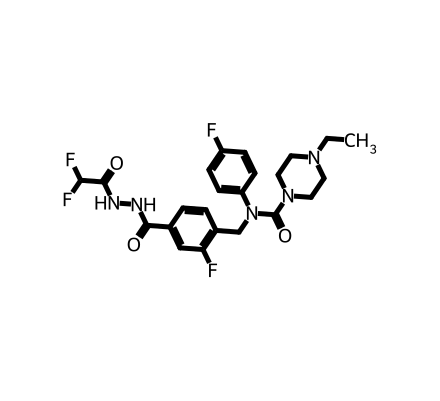 CCN1CCN(C(=O)N(Cc2ccc(C(=O)NNC(=O)C(F)F)cc2F)c2ccc(F)cc2)CC1